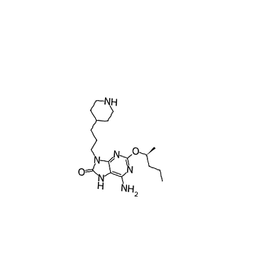 CCC[C@H](C)Oc1nc(N)c2[nH]c(=O)n(CCCC3CCNCC3)c2n1